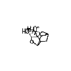 CC1C2CC3C1OC(O)C3(C)C2